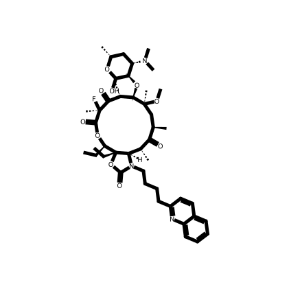 CC[C@H]1OC(=O)[C@@](C)(F)C(=O)[C@H](C)[C@@H](O[C@H]2C(O)O[C@H](C)C[C@@H]2N(C)C)[C@@](C)(OC)C[C@@H](C)C(=O)[C@H](C)[C@H]2N(CCCCc3ccc4ccccc4n3)C(=O)O[C@]12CC